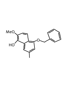 COc1ccc2c(OCc3ccccc3)cc(C)cc2c1O